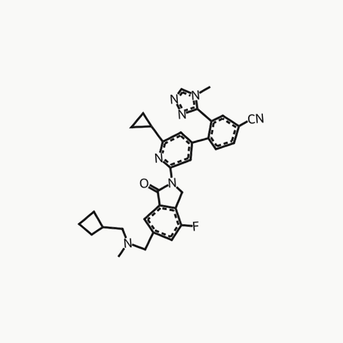 CN(Cc1cc(F)c2c(c1)C(=O)N(c1cc(-c3ccc(C#N)cc3-c3nncn3C)cc(C3CC3)n1)C2)CC1CCC1